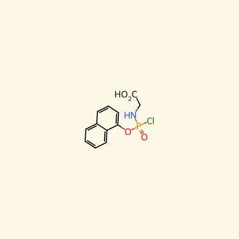 O=C(O)CNP(=O)(Cl)Oc1cccc2ccccc12